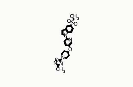 CCS(=O)(=O)c1ccc2c(ccn2-c2ccc(OC3CCN(c4nc(C)no4)CC3)cn2)c1